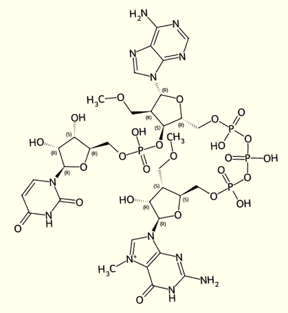 COC[C@@H]1[C@H](OP(=O)(O)OC[C@H]2O[C@@H](n3ccc(=O)[nH]c3=O)[C@H](O)[C@@H]2O)[C@@H](COP(=O)(O)OP(=O)(O)OP(=O)(O)OC[C@H]2O[C@@H](n3c[n+](C)c4c(=O)[nH]c(N)nc43)[C@H](O)[C@@H]2COC)O[C@H]1n1cnc2c(N)ncnc21